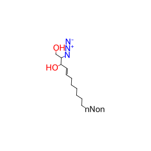 CCCCCCCCCCCCCCCC=CC(O)C(CO)N=[N+]=[N-]